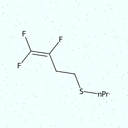 CC[CH]SCCC(F)=C(F)F